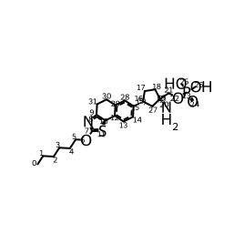 CCCCCCOc1nc2c(s1)-c1ccc([C@H]3CC[C@](N)(COP(=O)(O)O)C3)cc1CC2